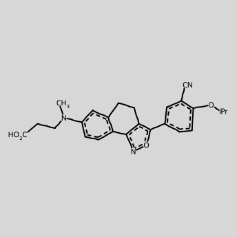 CC(C)Oc1ccc(-c2onc3c2CCc2cc(N(C)CCC(=O)O)ccc2-3)cc1C#N